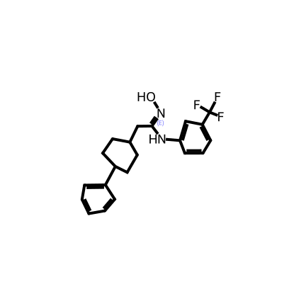 O/N=C(\CC1CCC(c2ccccc2)CC1)Nc1cccc(C(F)(F)F)c1